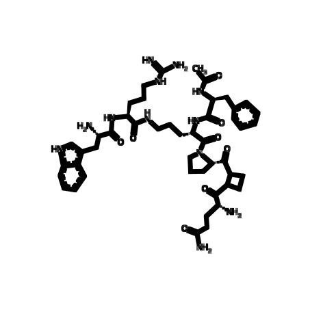 CC(=O)N[C@@H](Cc1ccccc1)C(=O)N[C@@H](CCCNC(=O)[C@H](CCCNC(=N)N)NC(=O)[C@@H](N)Cc1c[nH]c2ccccc12)C(=O)N1CCC[C@H]1C(=O)C1CCC1C(=O)[C@H](N)CCC(N)=O